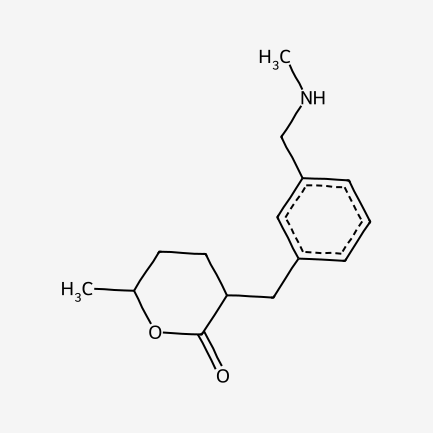 CNCc1cccc(CC2CCC(C)OC2=O)c1